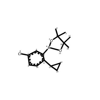 CC1(C)OB(c2cc(Cl)ccc2C2CC2)OC1(C)C